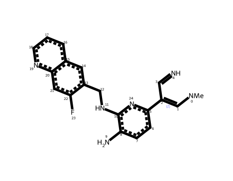 CN/C=C(\C=N)c1ccc(N)c(NCc2cc3cccnc3cc2F)n1